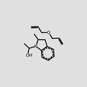 C=CCOCC=C.CC(O)N1c2ccccc2CC1C